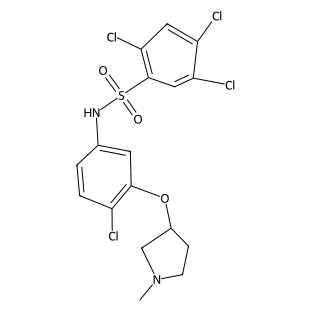 CN1CCC(Oc2cc(NS(=O)(=O)c3cc(Cl)c(Cl)cc3Cl)ccc2Cl)C1